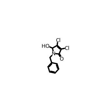 O=C1C(Cl)=C(Cl)C(O)N1Cc1ccccc1